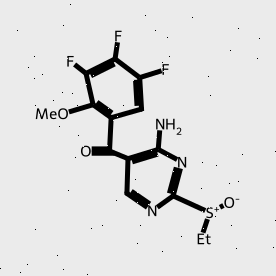 CC[S+]([O-])c1ncc(C(=O)c2cc(F)c(F)c(F)c2OC)c(N)n1